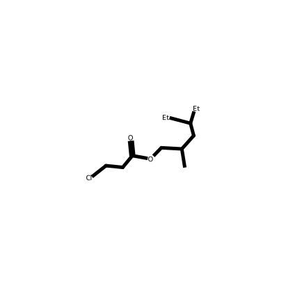 CCC(CC)CC(C)COC(=O)CCCl